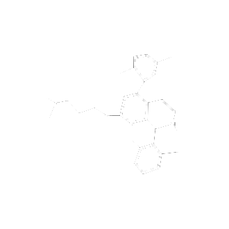 CCN(CC)CCCNc1cc(-c2cc(C(=O)O)ccc2C)c2c(n1)C(c1c(F)cccc1F)[NH+]([O-])C=C2